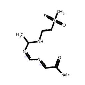 CNC(=O)/C=N/C=N\C(C)NCCS(C)(=O)=O